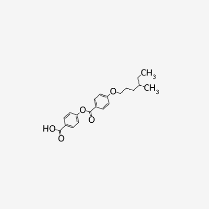 CCC(C)CCCOc1ccc(C(=O)Oc2ccc(C(=O)O)cc2)cc1